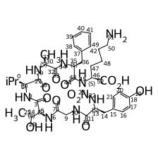 CC(C)[C@H](NC(=O)[C@@H](NC(=O)CNC(=O)[C@H](Cc1ccc(O)cc1)N[N+](=O)[O-])[C@@H](C)O)C(=O)N[C@@H](C)C(=O)N[C@@H](Cc1ccccc1)C(=O)N[C@@H](CCCCN)C(=O)O